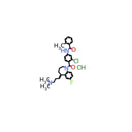 Cc1ccccc1C(=O)Nc1ccc(C(=O)N2CCCC(=CCCN(C)C)c3cc(F)ccc32)c(Cl)c1.Cl